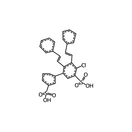 O=S(=O)(O)c1cccc(-c2cc(S(=O)(=O)O)c(Cl)c(C=Cc3ccccc3)c2C=Cc2ccccc2)c1